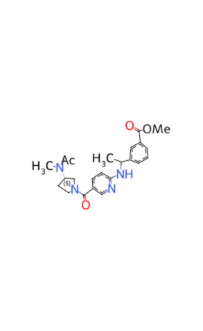 COC(=O)c1cccc(C(C)Nc2ccc(C(=O)N3CC[C@H](N(C)C(C)=O)C3)cn2)c1